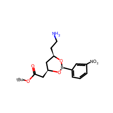 CC(C)(C)OC(=O)C[C@H]1C[C@@H](CCN)OB(c2cccc([N+](=O)[O-])c2)O1